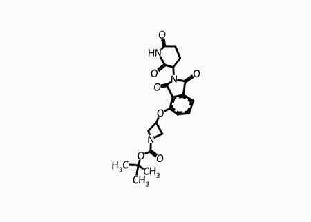 CC(C)(C)OC(=O)N1CC(Oc2cccc3c2C(=O)N(C2CCC(=O)NC2=O)C3=O)C1